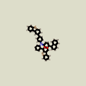 c1ccc(N(c2ccc(-c3ccc4sc5ccccc5c4c3)cc2)c2ccc(-c3cccc4ccccc34)cc2)c(-c2cccc3c2sc2ccccc23)c1